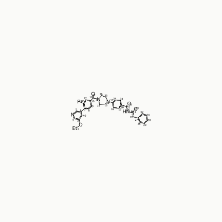 CCOc1cncc(-c2ccc(C(=O)N3CCN(c4ccc(C(=O)N[S@+]([O-])Cc5ccccc5)cc4)CC3)cc2F)c1